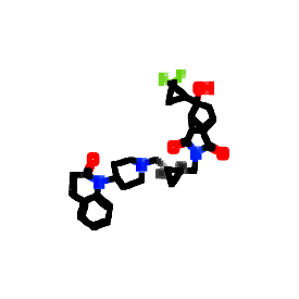 O=C1C2C3CC(C2C(=O)N1C[C@H]1C[C@@H]1CN1CCC(n2c(=O)ccc4ccccc42)CC1)C(O)(C1CC1(F)F)C3